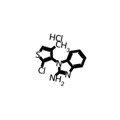 Cc1csc(Cl)c1-n1c(N)nc2ccccc21.Cl